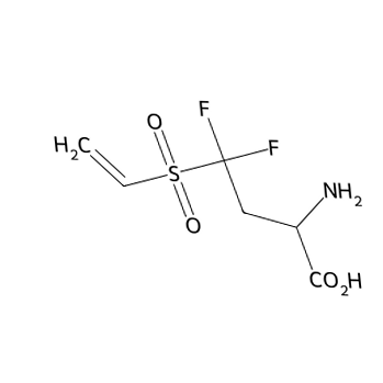 C=CS(=O)(=O)C(F)(F)CC(N)C(=O)O